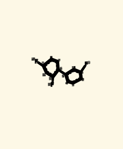 Fc1cccc(-c2ccc(F)cc2F)c1